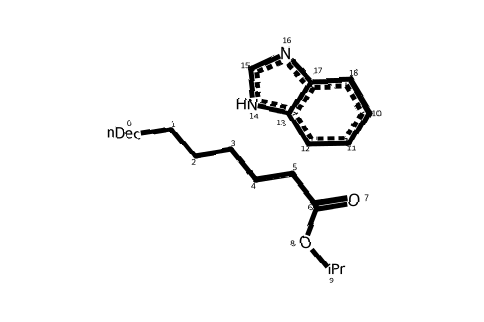 CCCCCCCCCCCCCCCC(=O)OC(C)C.c1ccc2[nH]cnc2c1